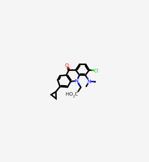 CN(C)c1c(Cl)ccc2c(=O)c3ccc(C4CC4)cc3n(CC(=O)O)c12